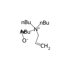 C=CC[N+](CCCC)(CCCC)CCCC.CC(=O)[O-]